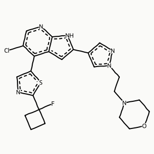 FC1(c2ncc(-c3c(Cl)cnc4[nH]c(-c5cnn(CCN6CCOCC6)c5)cc34)s2)CCC1